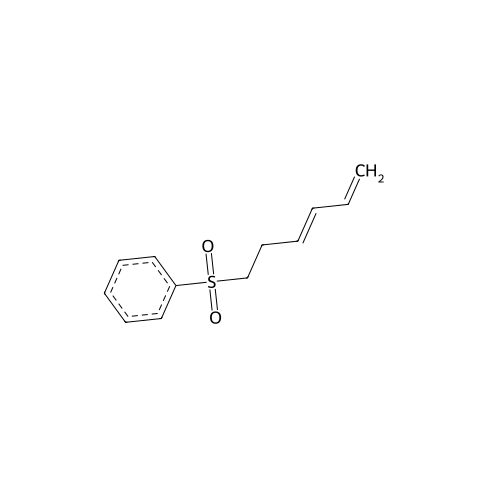 C=CC=CCCS(=O)(=O)c1ccccc1